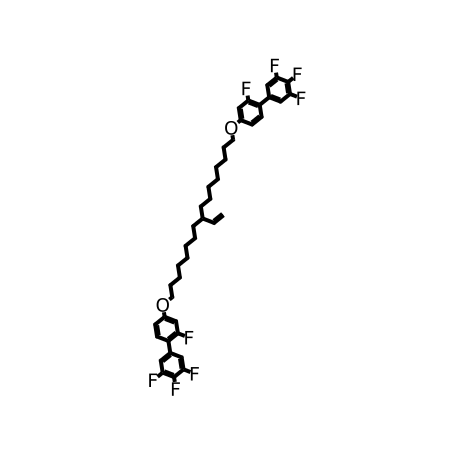 C=CC(CCCCCCCCOc1ccc(-c2cc(F)c(F)c(F)c2)c(F)c1)CCCCCCCCOc1ccc(-c2cc(F)c(F)c(F)c2)c(F)c1